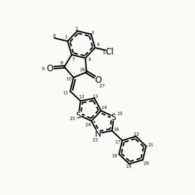 Cc1ccc(Cl)c2c1C(=O)/C(=C/c1cc3sc(-c4ccccc4)nc3s1)C2=O